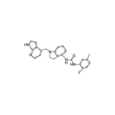 Cc1ccc(F)c(NC(=O)Nc2cccc3c2CCN3Cc2ccnc3[nH]ccc23)c1